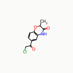 CC1Oc2ccc(C(=O)CCl)cc2NC1=O